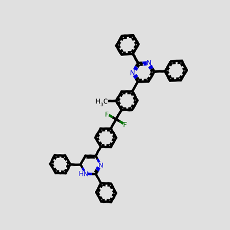 Cc1cc(-c2cc(-c3ccccc3)nc(-c3ccccc3)n2)ccc1C(F)(F)c1ccc(C2=CC(c3ccccc3)NC(c3ccccc3)=N2)cc1